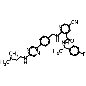 C[C@H](NC(=O)c1cc(C#N)cnc1NCc1ccc(-c2cnc(NCCN(C)C)cn2)cc1)c1ccc(F)cc1